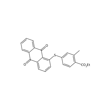 CCOC(=O)c1ccc(Sc2cccc3c2C(=O)c2ccccc2C3=O)cc1C